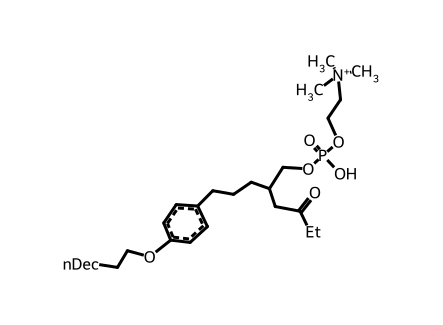 CCCCCCCCCCCCOc1ccc(CCCC(COP(=O)(O)OCC[N+](C)(C)C)CC(=O)CC)cc1